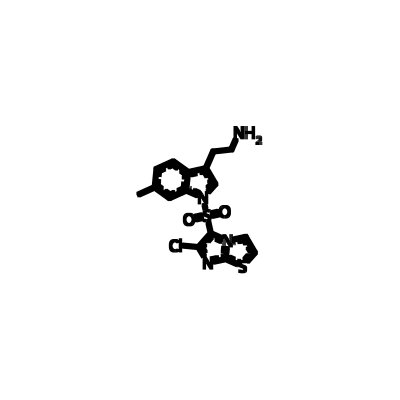 Cc1ccc2c(CCN)cn(S(=O)(=O)c3c(Cl)nc4sccn34)c2c1